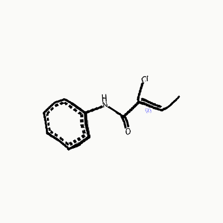 C/C=C(\Cl)C(=O)Nc1ccccc1